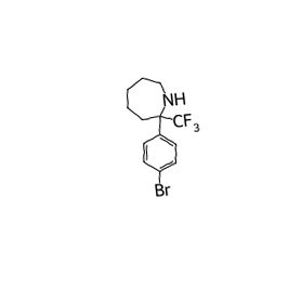 FC(F)(F)C1(c2ccc(Br)cc2)CCCCCN1